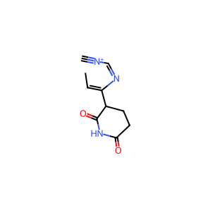 C#[N+]/C=N\C(=C/C)C1CCC(=O)NC1=O